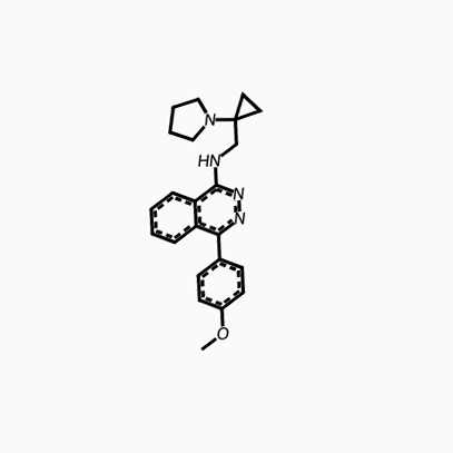 COc1ccc(-c2nnc(NCC3(N4CCCC4)CC3)c3ccccc23)cc1